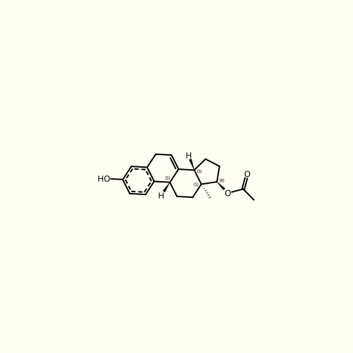 CC(=O)O[C@@H]1CC[C@H]2C3=CCc4cc(O)ccc4[C@H]3CC[C@]12C